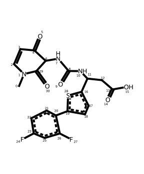 CN1C=CC(=O)C(NC(=O)NC(CC(=O)O)c2ccc(-c3ccc(F)cc3F)s2)C1=O